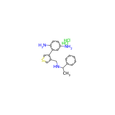 CC(NCc1cscc1-c1cc(N)ccc1N)c1ccccc1.Cl.Cl